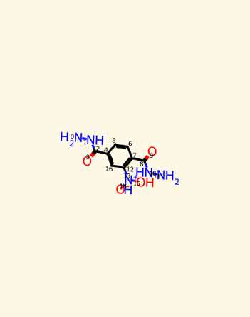 NNC(=O)c1ccc(C(=O)NN)c([NH+]([O-])O)c1